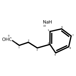 O=CCCCc1ccccc1.[NaH]